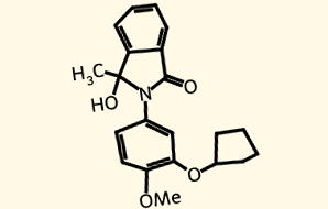 COc1ccc(N2C(=O)c3ccccc3C2(C)O)cc1OC1CCCC1